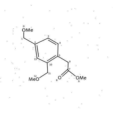 COCc1ccc(CC(=O)OC)c(COC)c1